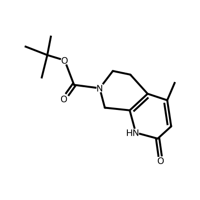 Cc1cc(=O)[nH]c2c1CCN(C(=O)OC(C)(C)C)C2